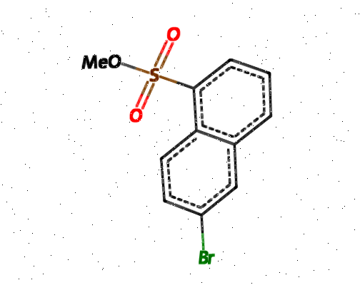 COS(=O)(=O)c1cccc2cc(Br)ccc12